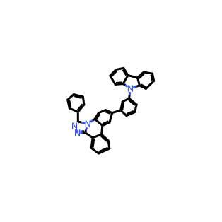 c1ccc(-c2nnc3c4ccccc4c4cc(-c5cccc(-n6c7ccccc7c7ccccc76)c5)ccc4n23)cc1